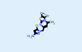 C=C1C=C(Cn2nc(N)cc2Cl)N=C2SC(C)=C(Br)N12